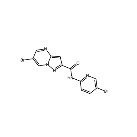 O=C(Nc1ccc(Br)cn1)c1cc2ncc(Br)cn2n1